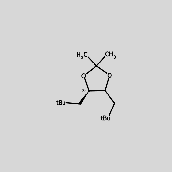 CC(C)(C)CC1OC(C)(C)O[C@@H]1CC(C)(C)C